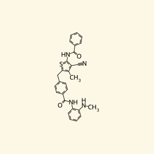 CNc1ccccc1NC(=O)c1ccc(Cc2sc(NC(=O)c3ccccc3)c(C#N)c2C)cc1